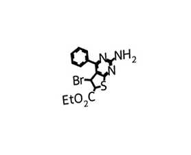 CCOC(=O)C1Sc2nc(N)nc(-c3ccccc3)c2C1Br